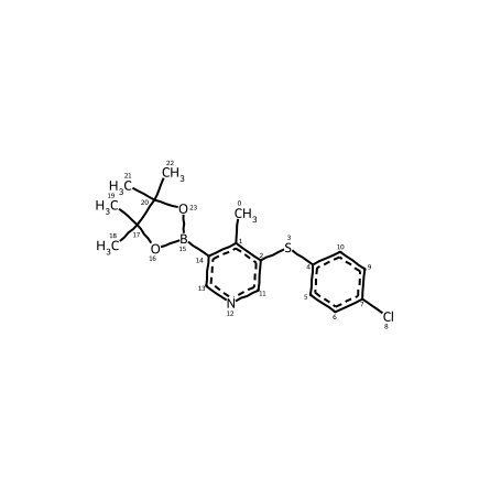 Cc1c(Sc2ccc(Cl)cc2)cncc1B1OC(C)(C)C(C)(C)O1